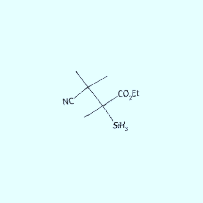 CCOC(=O)C(C)([SiH3])C(C)(C)C#N